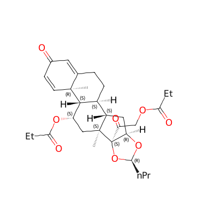 CCC[C@@H]1O[C@@H]2C[C@H]3[C@@H]4CCC5=CC(=O)C=C[C@]5(C)[C@H]4[C@@H](OC(=O)CC)C[C@]3(C)[C@]2(C(=O)COC(=O)CC)O1